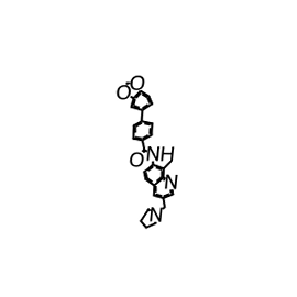 Cc1c(NC(=O)c2ccc(-c3ccc4c(c3)OCO4)cc2)ccc2cc(CN3CCCC3)cnc12